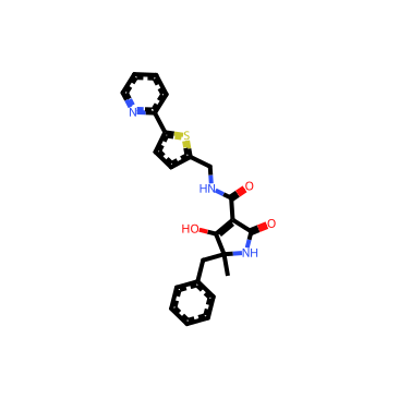 CC1(Cc2ccccc2)NC(=O)C(C(=O)NCc2ccc(-c3ccccn3)s2)=C1O